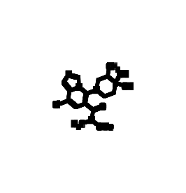 CON(C)C(=O)c1cc(Cl)c2cncn2c1N1CCS(O)(O)C(C)C1